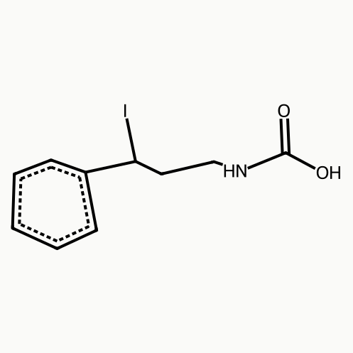 O=C(O)NCCC(I)c1ccccc1